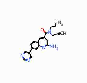 C#CCN(CCC)C(=O)C1=Cc2ccc(-c3cncnc3)cc2N=C(N)C1